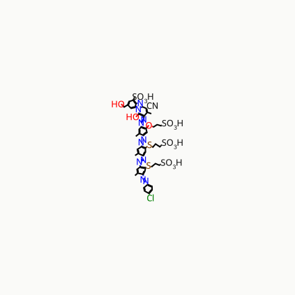 Cc1cc(N=Nc2cc(SCCCS(=O)(=O)O)c(N=Nc3cc(OCCCS(=O)(=O)O)c(N=Nc4c(C)c(C#N)c5nc6c(S(=O)(=O)O)cc(CO)cc6n5c4O)cc3C)cc2C)c(SCCCS(=O)(=O)O)cc1N=Nc1ccc(Cl)cc1